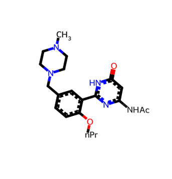 CCCOc1ccc(CN2CCN(C)CC2)cc1-c1nc(NC(C)=O)cc(=O)[nH]1